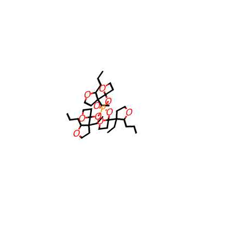 CCCC1OCCC1(CC)C1(OP(=O)(OC2(C3(CC)CCOC3CCC)CCO2)OC2(C3(CC)CCOC3CCC)CCO2)CCO1